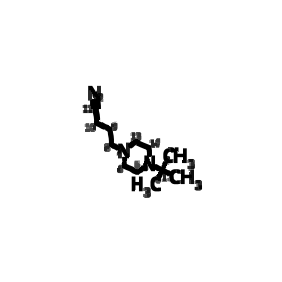 CC(C)(C)N1CCN(CCCC#N)CC1